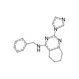 c1ccc(CNc2nc(-n3ccnc3)nc3c2CCCC3)cc1